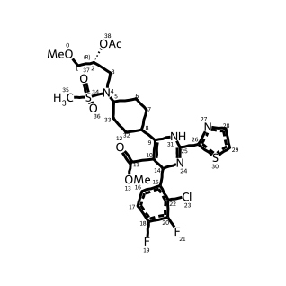 COC[C@@H](CN(C1CCC(C2=C(C(=O)OC)C(c3ccc(F)c(F)c3Cl)N=C(c3nccs3)N2)CC1)S(C)(=O)=O)OC(C)=O